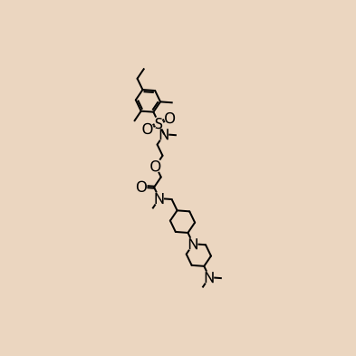 CCc1cc(C)c(S(=O)(=O)N(C)CCOCC(=O)N(C)CC2CCC(N3CCC(N(C)C)CC3)CC2)c(C)c1